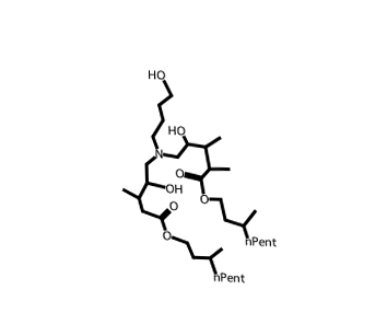 CCCCCC(C)CCOC(=O)CC(C)C(O)CN(CCCCO)CC(O)C(C)C(C)C(=O)OCCC(C)CCCCC